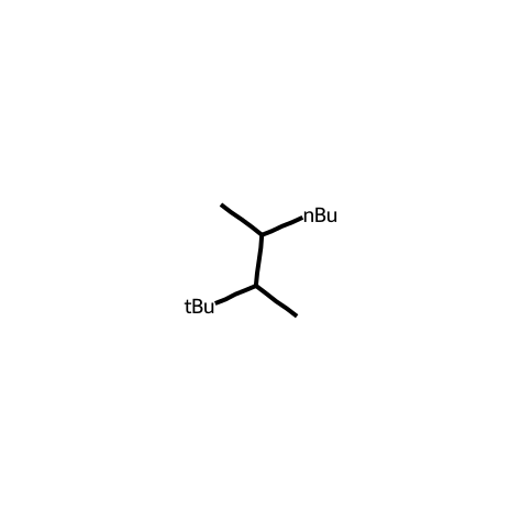 [CH2]C(C)(C)C(C)C(C)CCCC